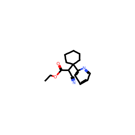 CCOC(=O)C(C#N)C1(c2ccccn2)CCCCC1